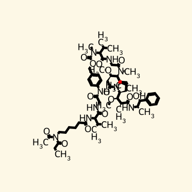 CCC(=O)N(CCCCCC(=O)NC(C(=O)NCC(=O)Nc1ccc(COC(=O)N(C)C(C(=O)NCC(=O)N(C)[C@@H]([C@@H](C)CC)[C@@H](CC(=O)N2CCC[C@H]2[C@H](OC)[C@@H](C)C(=O)N[C@H](C)[C@@H](O)c2ccccc2)OC)C(C)C)cc1)C(C)C)C(C)=O